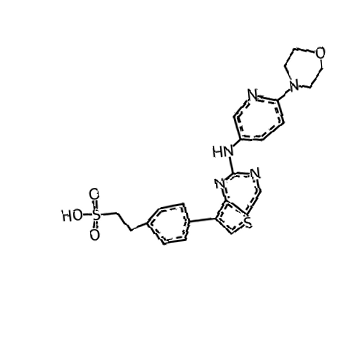 O=S(=O)(O)CCc1ccc(-c2csc3cnc(Nc4ccc(N5CCOCC5)nc4)nc23)cc1